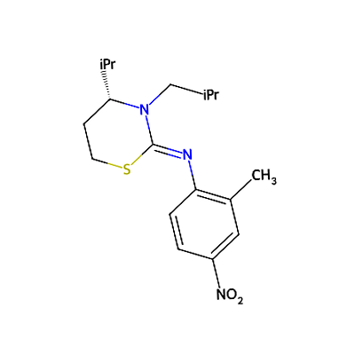 Cc1cc([N+](=O)[O-])ccc1/N=C1\SCC[C@H](C(C)C)N1CC(C)C